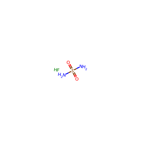 F.NS(N)(=O)=O